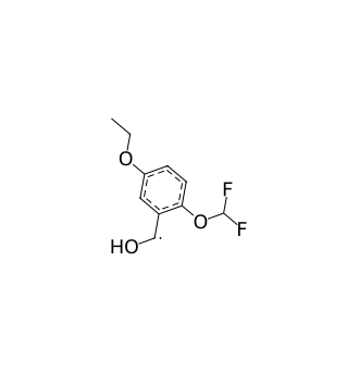 CCOc1ccc(OC(F)F)c([CH]O)c1